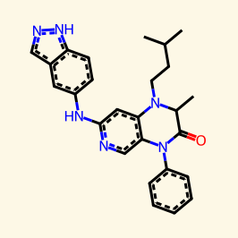 CC(C)CCN1c2cc(Nc3ccc4[nH]ncc4c3)ncc2N(c2ccccc2)C(=O)C1C